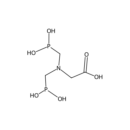 O=C(O)CN(CP(O)O)CP(O)O